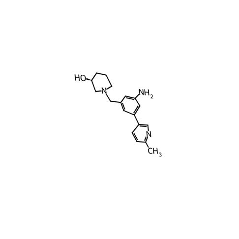 Cc1ccc(-c2cc(N)cc(CN3CCC[C@H](O)C3)c2)cn1